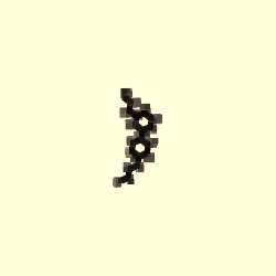 CCCCC1CCC(C2CCCC(CCC)C2)CC1